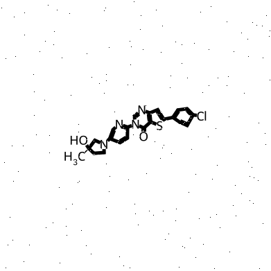 C[C@@]1(O)CCN(c2ccc(-n3cnc4cc(-c5ccc(Cl)cc5)sc4c3=O)nc2)C1